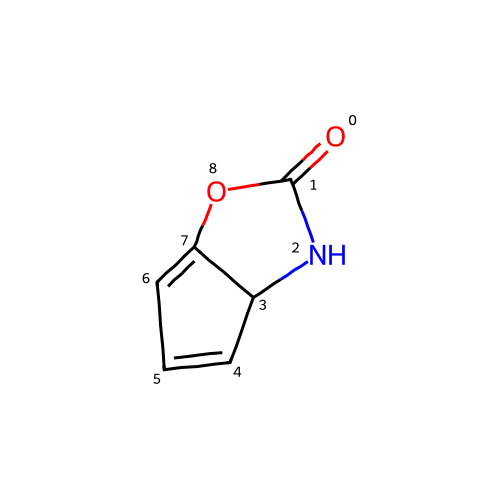 O=C1NC2C=CC=C2O1